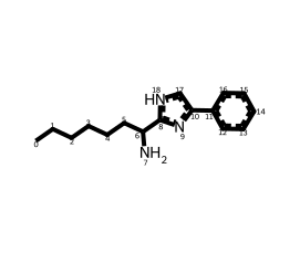 CCCCCCC(N)c1nc(-c2ccccc2)c[nH]1